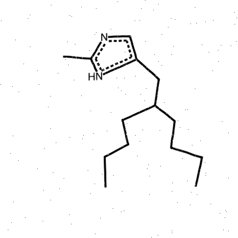 CCCCC(CCCC)Cc1cnc(C)[nH]1